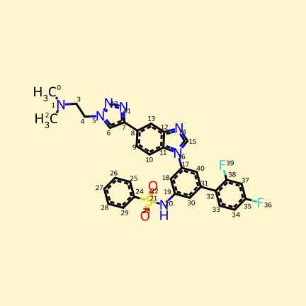 CN(C)CCn1cc(-c2ccc3c(c2)ncn3-c2cc(NS(=O)(=O)c3ccccc3)cc(-c3ccc(F)cc3F)c2)nn1